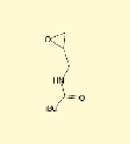 CCC(C)C(=O)NCC1CO1